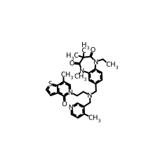 CCN1C(=O)C(C)(C)C(=O)N(C)c2cc(CN(CCn3cc(C)c4sccc4c3=O)Cc3cnccc3C)ccc21